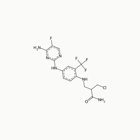 NC(=O)C(CCl)CNc1ccc(Nc2ncc(F)c(N)n2)cc1C(F)(F)F